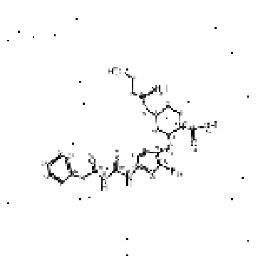 CCCC(=N)CC1CCN(C(=O)O)C(Oc2ccc(NC(=S)NC(=O)Cc3ccccc3)cc2F)C1